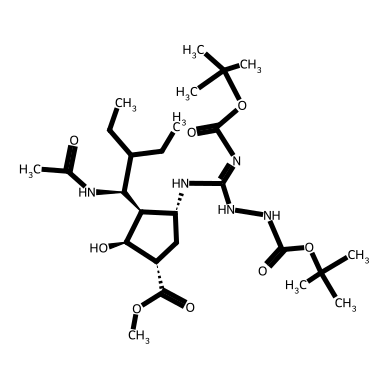 CCC(CC)[C@H](NC(C)=O)[C@@H]1[C@H](O)[C@@H](C(=O)OC)C[C@H]1N/C(=N\C(=O)OC(C)(C)C)NNC(=O)OC(C)(C)C